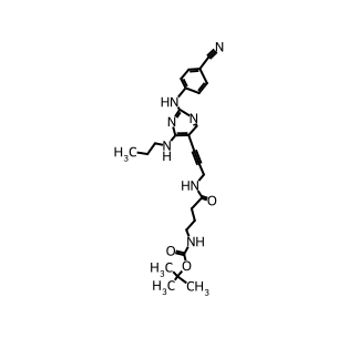 CCCNc1nc(Nc2ccc(C#N)cc2)ncc1C#CCNC(=O)CCCNC(=O)OC(C)(C)C